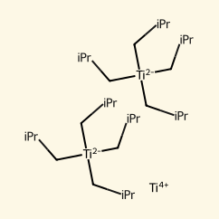 CC(C)[CH2][Ti-2]([CH2]C(C)C)([CH2]C(C)C)[CH2]C(C)C.CC(C)[CH2][Ti-2]([CH2]C(C)C)([CH2]C(C)C)[CH2]C(C)C.[Ti+4]